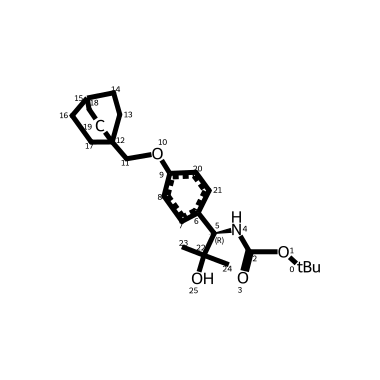 CC(C)(C)OC(=O)N[C@H](c1ccc(OCC23CCC(CC2)CC3)cc1)C(C)(C)O